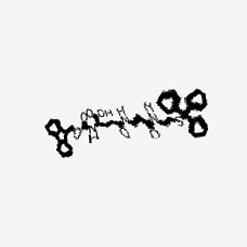 O=C(CCNC(=O)CCC(NC(=O)OCC1c2ccccc2-c2ccccc21)C(=O)O)NCCSC(c1ccccc1)(c1ccccc1)c1ccccc1